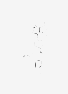 C[C@@H]1C[C@H](F)c2ncnc(N3CCN(C(=O)[C@H](CNC=O)c4ccc(Br)cc4)CC3)c21